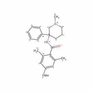 COc1cc(C)c(C(=O)NC2(c3ccccc3)CCCN(C)C2)c(C)c1